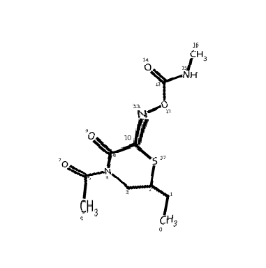 CCC1CN(C(C)=O)C(=O)C(=NOC(=O)NC)S1